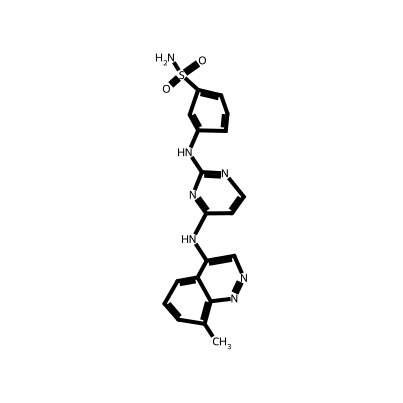 Cc1cccc2c(Nc3ccnc(Nc4cccc(S(N)(=O)=O)c4)n3)cnnc12